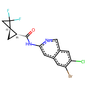 O=C(Nc1cc2cc(Br)c(Cl)cc2cn1)[C@@H]1C[C@]12CC2(F)F